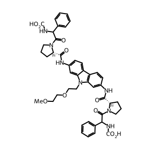 COCCOCCn1c2cc(NC(=O)[C@@H]3CCCN3C(=O)C(NC(=O)O)c3ccccc3)ccc2c2ccc(NC(=O)[C@@H]3CCCN3C(=O)C(NC(=O)O)c3ccccc3)cc21